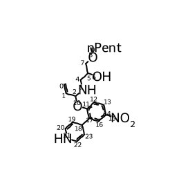 C=CC(NCC(O)COCCCCC)Oc1ccc([N+](=O)[O-])cc1C1C=CNC=C1